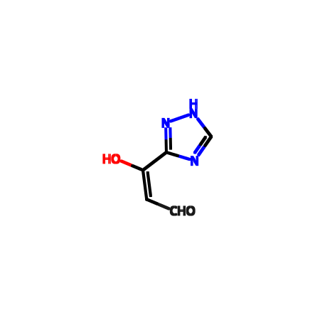 O=C/C=C(/O)c1nc[nH]n1